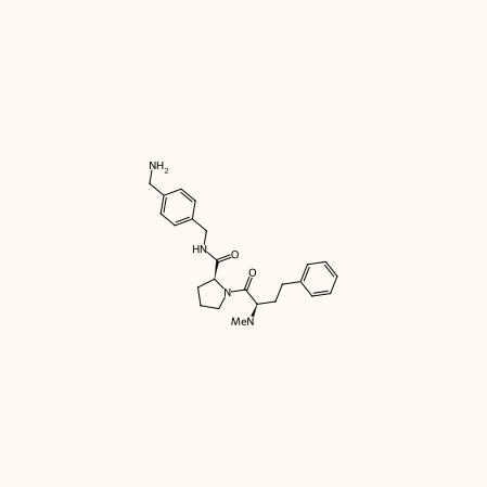 CN[C@H](CCc1ccccc1)C(=O)N1CCC[C@H]1C(=O)NCc1ccc(CN)cc1